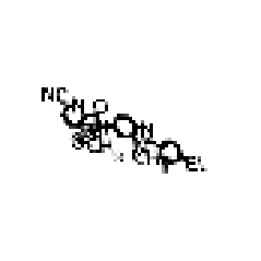 CCc1ccc(-c2nc3ccc(NC(=O)c4nc(C#N)ccc4S(C)(=O)=O)cc3n2C)cc1